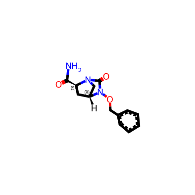 NC(=O)[C@@H]1C[C@@H]2CN1C(=O)N2OCc1ccccc1